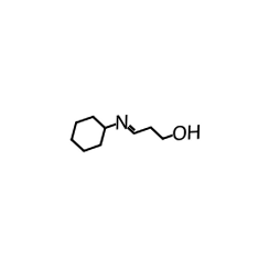 OCCC=NC1CCCCC1